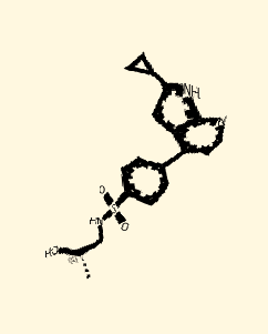 C[C@H](O)CNS(=O)(=O)c1ccc(-c2ccnc3[nH]c(C4CC4)cc23)cc1